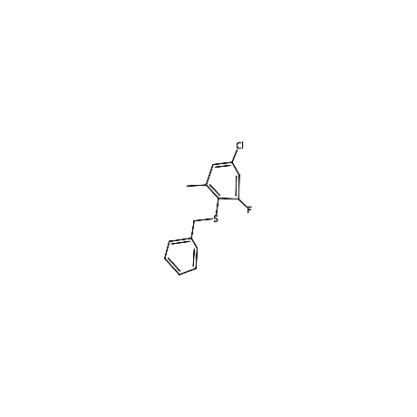 Cc1cc(Cl)cc(F)c1SCc1ccccc1